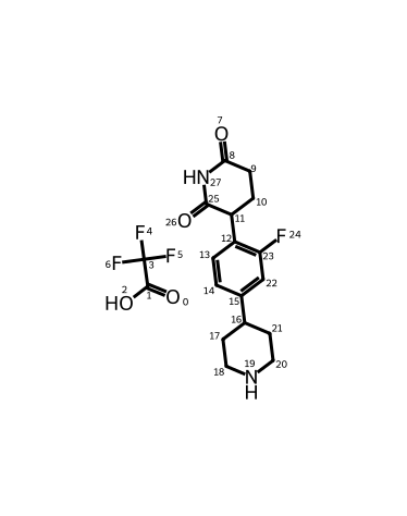 O=C(O)C(F)(F)F.O=C1CCC(c2ccc(C3CCNCC3)cc2F)C(=O)N1